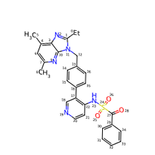 CCc1nc2c(C)cc(C)nc2n1Cc1ccc(-c2cnccc2NS(=O)(=O)C(=O)c2ccccc2)cc1